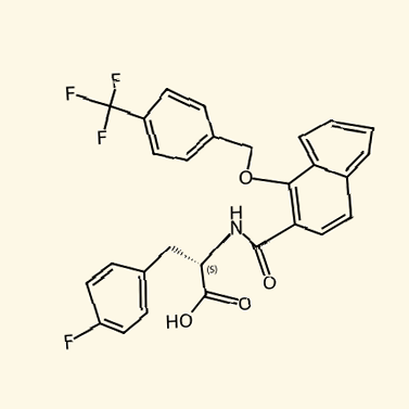 O=C(N[C@@H](Cc1ccc(F)cc1)C(=O)O)c1ccc2ccccc2c1OCc1ccc(C(F)(F)F)cc1